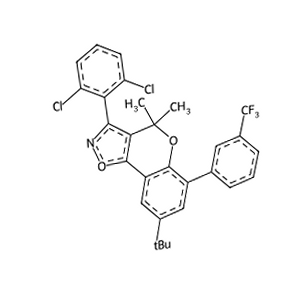 CC(C)(C)c1cc(-c2cccc(C(F)(F)F)c2)c2c(c1)-c1onc(-c3c(Cl)cccc3Cl)c1C(C)(C)O2